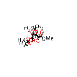 COC(=O)[C@H](O)C1OC(C)(C)OC1[C@H]1COC(C)(C)O1